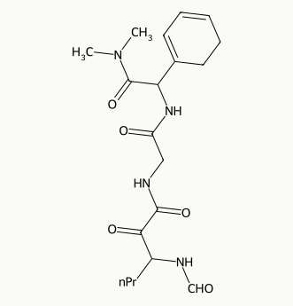 CCCC(NC=O)C(=O)C(=O)NCC(=O)NC(C(=O)N(C)C)C1=CC=CCC1